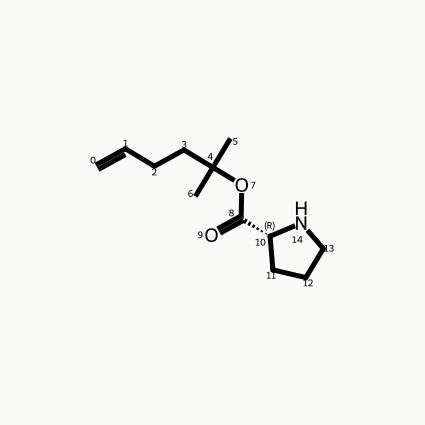 C=CCCC(C)(C)OC(=O)[C@H]1CCCN1